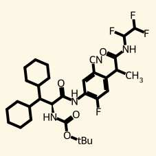 CC(C(=O)NC(F)C(F)F)c1cc(F)c(NC(=O)[C@@H](NC(=O)OC(C)(C)C)C(C2CCCCC2)C2CCCCC2)cc1C#N